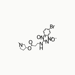 CN1CCC(OC(=O)CCNc2n[n+]([O-])c3cc(Br)ccc3[n+]2[O-])C1